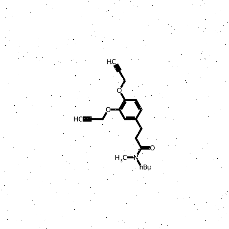 C#CCOc1ccc(CCC(=O)N(C)CCCC)cc1OCC#C